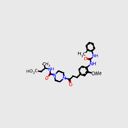 COc1cc(CCC(=O)N2CCN(C(=O)NC(C)CC(=O)O)CC2)ccc1NC(=O)Nc1ccccc1C